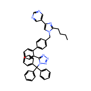 CCCCc1nc(-c2cncnc2)cn1Cc1ccc(-c2ccccc2-c2nnnn2C(c2ccccc2)(c2ccccc2)c2ccccc2)cc1